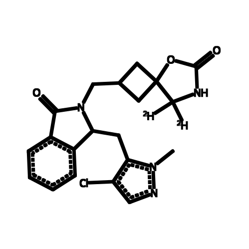 [2H]C1([2H])NC(=O)OC12CC(CN1C(=O)c3ccccc3C1Cc1c(Cl)cnn1C)C2